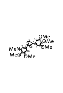 CNc1cc(C2SCC(c3cc(OC)c(OC)c(OC)c3)S2)cc(OC)c1OC